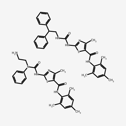 Cc1cc(C)c(NC(=O)c2sc(NC(=O)N(CCN)c3ccccc3)nc2C)c(C)c1.Cc1cc(C)c(NC(=O)c2sc(NC(=O)NCC(c3ccccc3)c3ccccc3)nc2C)c(C)c1